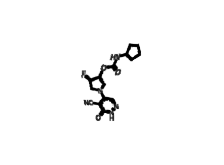 N#Cc1c(N2CC(F)C(OC(=O)NC3CCCC3)C2)cn[nH]c1=O